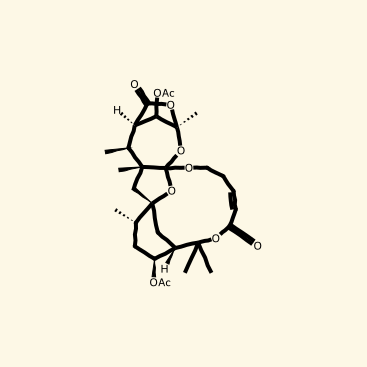 CC(=O)OC1[C@@H]2C(=O)O[C@@]1(C)OC13OCC/C=C\C(=O)OC(C)(C)[C@H]4C[C@@](C[C@]1(C)[C@H]2C)(O3)[C@@H](C)C[C@@H]4OC(C)=O